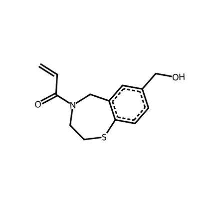 C=CC(=O)N1CCSc2ccc(CO)cc2C1